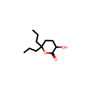 CCCC1(CCC)CCC(O)C(=O)O1